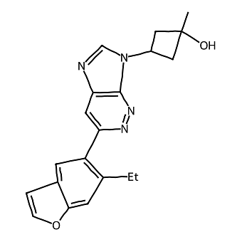 CCc1cc2occc2cc1-c1cc2ncn(C3CC(C)(O)C3)c2nn1